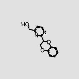 OCc1ccnc(C2COc3ccccc3O2)n1